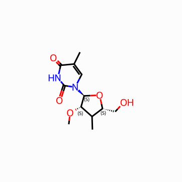 CO[C@H]1C(C)[C@@H](CO)O[C@@H]1n1cc(C)c(=O)[nH]c1=O